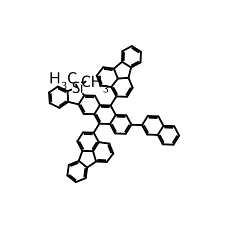 C[Si]1(C)c2ccccc2-c2cc3c(-c4ccc5c6c(cccc46)-c4ccccc4-5)c4ccc(-c5ccc6ccccc6c5)cc4c(C4=C5C=CC=C6c7ccccc7C(C=C4)C65)c3cc21